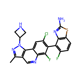 Cc1nn(C2CNC2)c2c1cnc1c(F)c(-c3c(F)ccc4sc(N)nc34)c(Cl)cc12